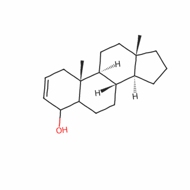 C[C@@]12CCC[C@H]1[C@@H]1CCC3C(O)C=CC[C@]3(C)[C@H]1CC2